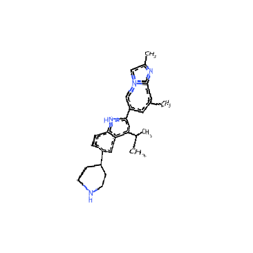 Cc1cn2cc(-c3[nH]c4ccc(C5CCNCC5)cc4c3C(C)C)cc(C)c2n1